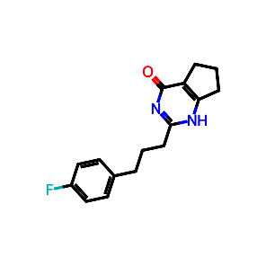 O=c1nc(CCCc2ccc(F)cc2)[nH]c2c1CCC2